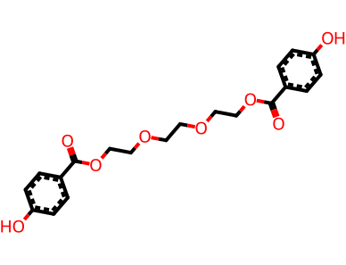 O=C(OCCOCCOCCOC(=O)c1ccc(O)cc1)c1ccc(O)cc1